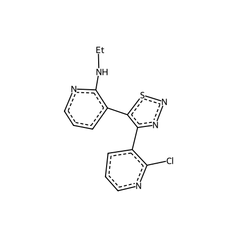 CCNc1ncccc1-c1snnc1-c1cccnc1Cl